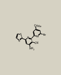 COc1cc(Br)nc(-c2nc(-c3nccs3)cc(N)c2C#N)c1